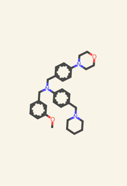 COc1cccc(CN(Cc2ccc(N3CCOCC3)cc2)c2ccc(CN3CCCCC3)cc2)c1